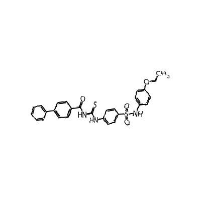 CCOc1ccc(NS(=O)(=O)c2ccc(NC(=S)NC(=O)c3ccc(-c4ccccc4)cc3)cc2)cc1